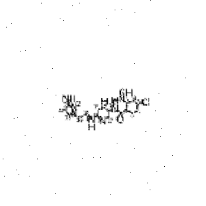 CN(C)c1cc(Cl)ccc1C(=O)Nc1ccc(NCCn2ccc(N)n2)nc1